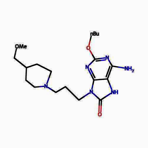 CCCCOc1nc(N)c2[nH]c(=O)n(CCCN3CCC(COC)CC3)c2n1